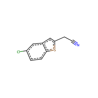 N#CCc1cc2cc(Cl)ccc2s1